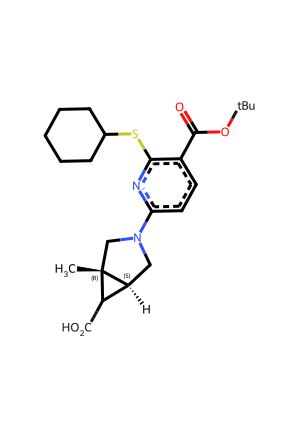 CC(C)(C)OC(=O)c1ccc(N2C[C@H]3C(C(=O)O)[C@]3(C)C2)nc1SC1CCCCC1